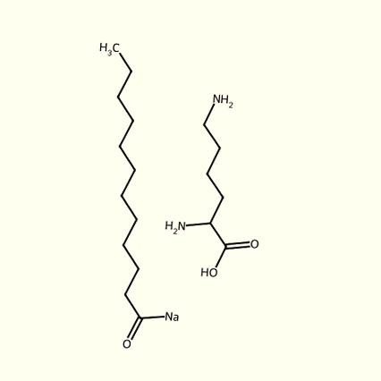 CCCCCCCCCCC[C](=O)[Na].NCCCCC(N)C(=O)O